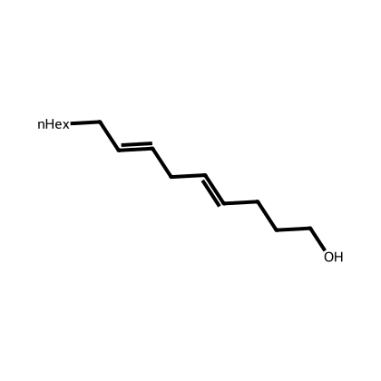 CCCCCCCC=CCC=CCCCO